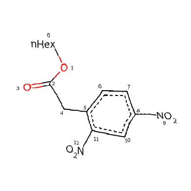 CCCCCCOC(=O)Cc1ccc([N+](=O)[O-])cc1[N+](=O)[O-]